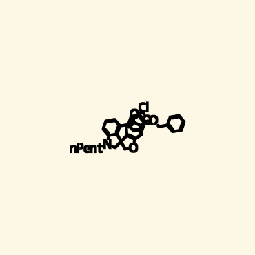 CCCCCN1CC2(COc3cc4c(cc32)OCO4)c2c(-c3ccc(OCc4ccccc4)c(Cl)c3)cccc21